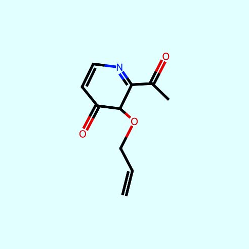 C=CCOC1C(=O)C=CN=C1C(C)=O